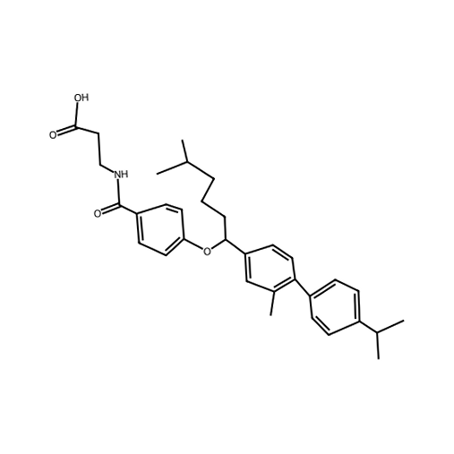 Cc1cc(C(CCCC(C)C)Oc2ccc(C(=O)NCCC(=O)O)cc2)ccc1-c1ccc(C(C)C)cc1